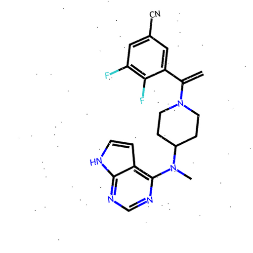 C=C(c1cc(C#N)cc(F)c1F)N1CCC(N(C)c2ncnc3[nH]ccc23)CC1